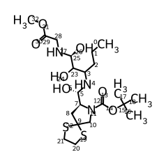 CCCC(N[C@@H](O)[C@@H]1CC2(CN1C(=O)OC(C)(C)C)SCCS2)C(O)[C@H](O)NCC(=O)OC